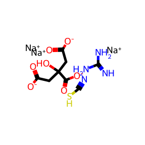 N#CS.N=C(N)N.O=C([O-])CC(O)(CC(=O)[O-])C(=O)[O-].[Na+].[Na+].[Na+]